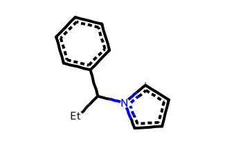 CCC(c1ccccc1)n1[c]ccc1